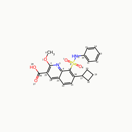 COc1nc2c(S(=O)(=O)Nc3ccccc3)c(C3CCC3)ccc2cc1C(=O)O